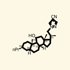 CCC[C@H]1CC[C@]2(C)C3[C@@H](CC[C@@H]2C1)C1CCC([C@H](C)Cn2cc(C#N)cn2)[C@@]1(C)C[C@@H]3O